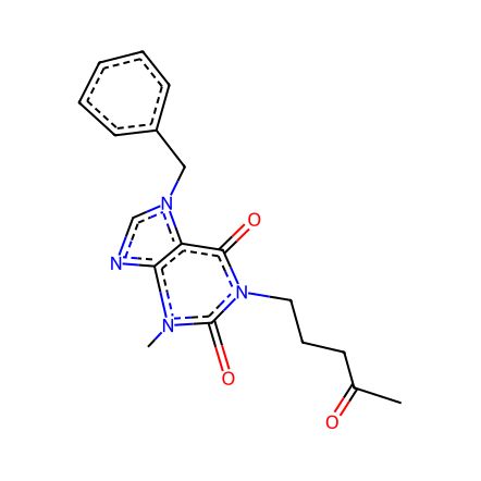 CC(=O)CCCn1c(=O)c2c(ncn2Cc2ccccc2)n(C)c1=O